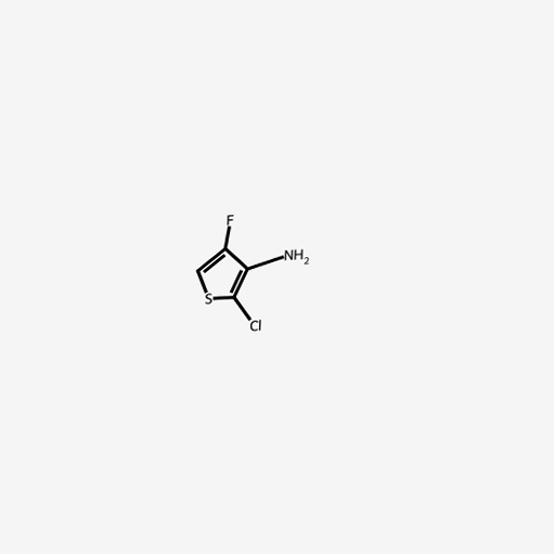 Nc1c(F)csc1Cl